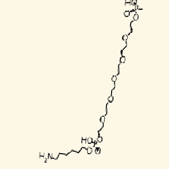 CP(=O)(O)OCCOCCOCCOCCOCCOCCOP(=O)(O)OCCCCCCN